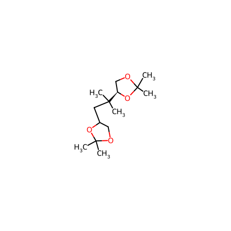 CC1(C)OCC(CC(C)(C)[C@H]2COC(C)(C)O2)O1